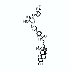 C[C@]12CC[C@@H]3c4ccc(O)cc4CC[C@H]3[C@@H]1CC[C@@]2(O)CCCNC(=O)c1ccc(N2CCN(C[C@H]3OC[C@H](Oc4cccc(C(F)(F)F)n4)[C@@H](O)[C@H]3O)CC2)nn1